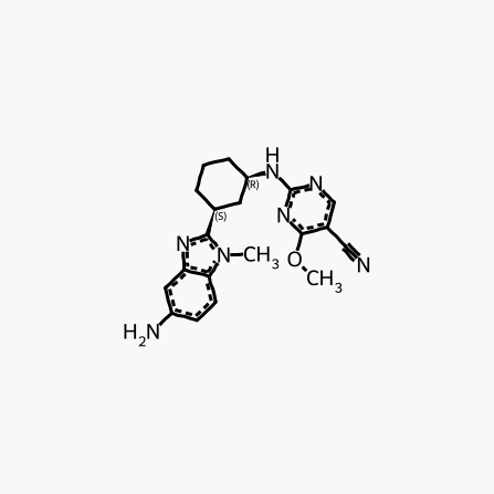 COc1nc(N[C@@H]2CCC[C@H](c3nc4cc(N)ccc4n3C)C2)ncc1C#N